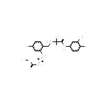 CC(C)(C)OC(=O)NS(=O)(=O)Nc1cc(F)ccc1CNC(C)(C)C(=O)Nc1ccc(F)c(C(F)(F)F)c1